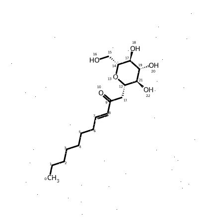 CCCCCCC/C=C/C(=O)C[C@@H]1O[C@H](CO)[C@@H](O)[C@H](O)[C@H]1O